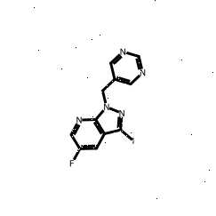 Fc1cnc2c(c1)c(I)nn2Cc1cncnc1